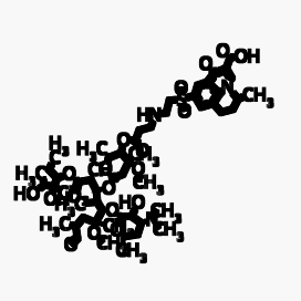 CCC(OC(=O)[C@H](C)[C@@H](OC1CC(C)(OC)C(OC(=O)CCNCCS(=O)(=O)c2cc3c4c(c2)c(=O)c(C(=O)O)cn4C(C)CC3)[C@H](C)O1)C(C)[C@@H](O[C@@H]1O[C@H](C)C[C@H](N(C)C)C1O)[C@@](C)(CC(C)C=O)OC)C(C)(O)C(C)O